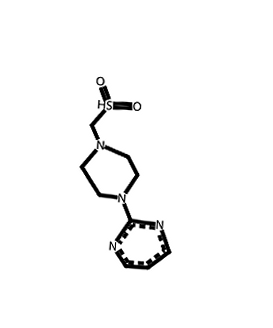 O=[SH](=O)CN1CCN(c2ncccn2)CC1